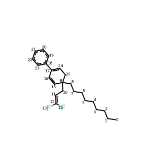 CCCCCCCCCC1(CC=C(F)F)C=CC(c2ccccc2)=CC1